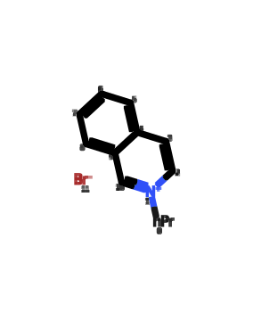 CCC[n+]1ccc2ccccc2c1.[Br-]